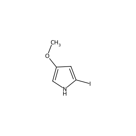 COc1c[nH]c(I)c1